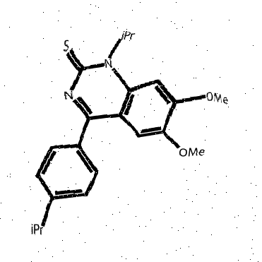 COc1cc2c(-c3ccc(C(C)C)cc3)nc(=S)n(C(C)C)c2cc1OC